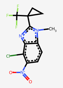 Cn1c(C2(C(F)(F)F)CC2)nc2c(Cl)c([N+](=O)[O-])ccc21